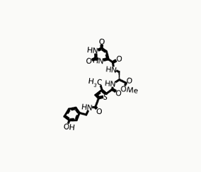 COC(=O)[C@H](CNC(=O)c1cc(=O)[nH]c(=O)[nH]1)NC(=O)c1sc(C(=O)NCc2cccc(O)c2)cc1C